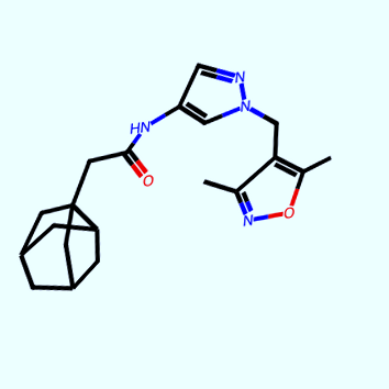 Cc1noc(C)c1Cn1cc(NC(=O)CC23CC4CC(CC2C4)C3)cn1